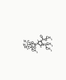 COC(=O)c1cc(B2OC(C)(C)C(C)(C)O2)cn1C(C)C